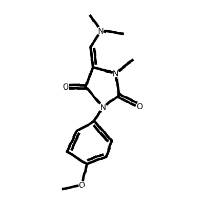 COc1ccc(N2C(=O)C(=CN(C)C)N(C)C2=O)cc1